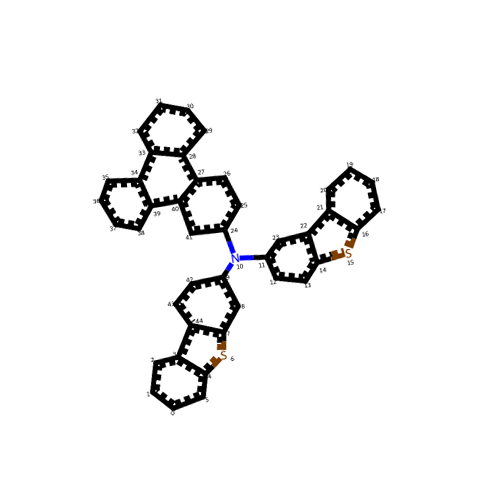 c1ccc2c(c1)sc1cc(N(c3ccc4sc5ccccc5c4c3)c3ccc4c5ccccc5c5ccccc5c4c3)ccc12